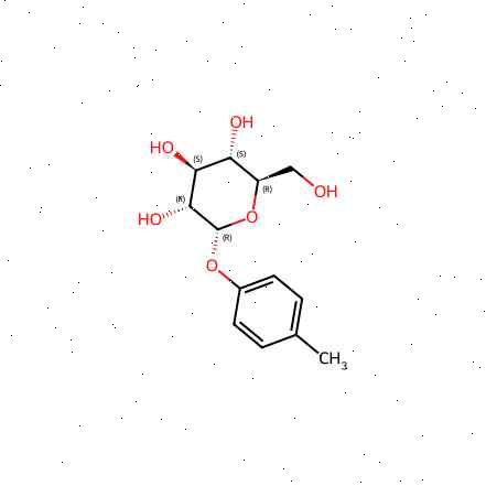 Cc1ccc(O[C@H]2O[C@H](CO)[C@@H](O)[C@H](O)[C@H]2O)cc1